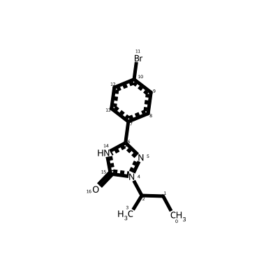 CCC(C)n1nc(-c2ccc(Br)cc2)[nH]c1=O